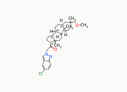 COC[C@@]1(C)CC[C@@]2(C)[C@@H](CC[C@@H]3[C@@H]2CC[C@]2(C)[C@@H](C(=O)Cn4cc5cc(Cl)ccc5n4)CC[C@@H]32)C1